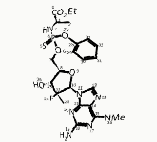 CCOC(=O)[C@@H](C)N[P@@](=S)(OC[C@H]1O[C@@H](n2cnc3c(NC)nc(N)nc32)[C@](C)(F)[C@@H]1O)Oc1ccccc1